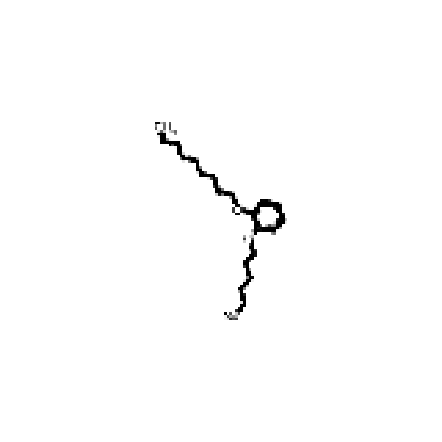 C=CCCCCCCCOc1c[c]ccc1OCCCCCC(C)CC